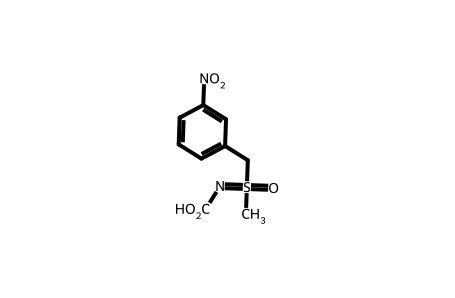 CS(=O)(Cc1cccc([N+](=O)[O-])c1)=NC(=O)O